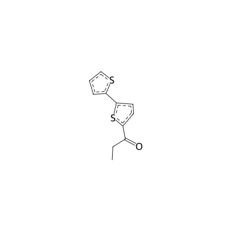 CCC(=O)c1ccc(-c2cccs2)s1